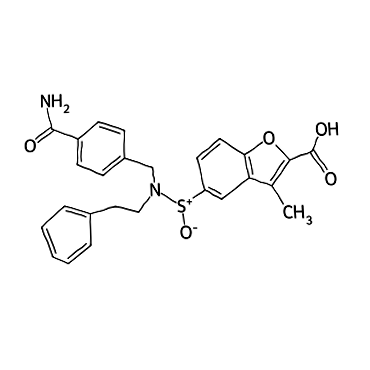 Cc1c(C(=O)O)oc2ccc([S+]([O-])N(CCc3ccccc3)Cc3ccc(C(N)=O)cc3)cc12